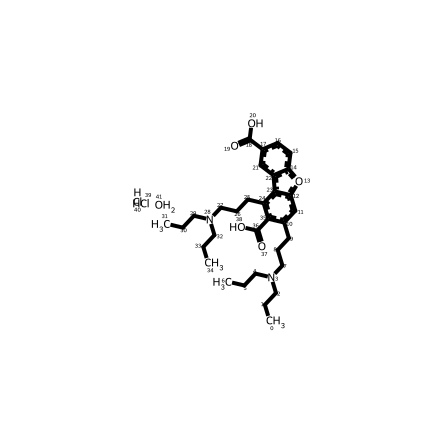 CCCN(CCC)CCCc1cc2oc3ccc(C(=O)O)cc3c2c(CCCN(CCC)CCC)c1C(=O)O.Cl.Cl.O